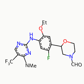 CCOc1cc(C2CN(C=O)CCO2)c(F)cc1Nc1ncc(C(F)(F)F)c(NC)n1